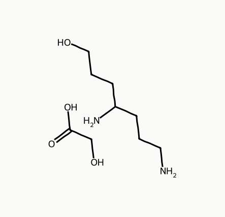 NCCCC(N)CCCO.O=C(O)CO